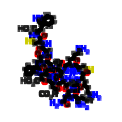 CC(C)C[C@H](NC(=O)[C@@H](NC(=O)[C@H](CCCCN)NC(=O)[C@H](CS)NC(=O)[C@H](CCCCN)NC(=O)CNC(=O)[C@H](CC(N)=O)NC(=O)[C@@H](N)CC(C)C)[C@@H](C)O)C(=O)N[C@@H](CCC(=O)O)C(=O)N[C@@H](CCC(=O)O)C(=O)N[C@H](C(=O)N[C@@H](Cc1c[nH]c2ccccc12)C(=O)N[C@@H](C)C(=O)N[C@@H](CS)C(=O)N[C@@H](Cc1c[nH]c2ccccc12)C(=O)O)C(C)C